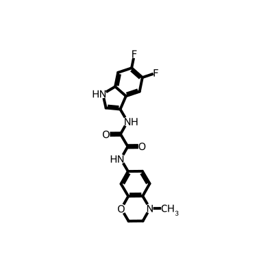 CN1CCOc2cc(NC(=O)C(=O)Nc3c[nH]c4cc(F)c(F)cc34)ccc21